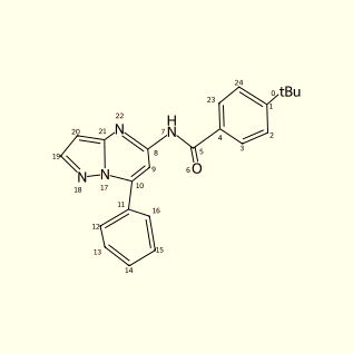 CC(C)(C)c1ccc(C(=O)Nc2cc(-c3ccccc3)n3nccc3n2)cc1